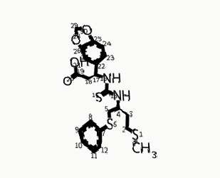 CSCC[C@@H](CSc1ccccc1)NC(=S)N[C@@H](CC(=O)O)c1ccc2c(c1)OCO2